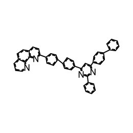 c1ccc(-c2ccc(-c3cc(-c4ccc(-c5ccc(-c6ccc7ccc8cccnc8c7n6)cc5)cc4)nc(-c4ccccc4)n3)cc2)cc1